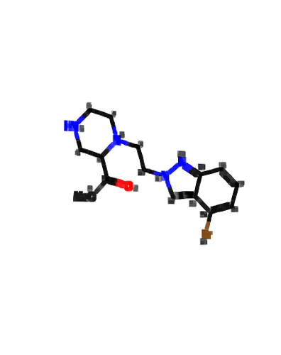 COC(=O)C1CNCCN1CCn1cc2c(Br)cccc2n1